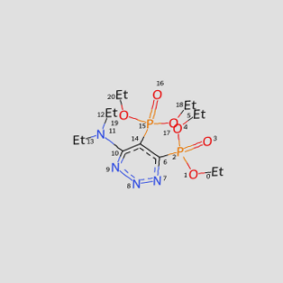 CCOP(=O)(OCC)c1nnnc(N(CC)CC)c1P(=O)(OCC)OCC